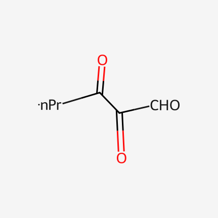 CC[CH]C(=O)C(=O)C=O